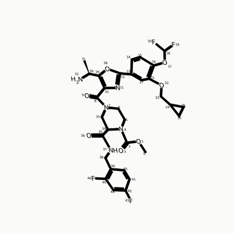 COC(=O)N1CCN(C(=O)c2nc(-c3ccc(OC(F)F)c(OCC4CC4)c3)oc2[C@H](C)N)CC1C(=O)NCc1ccc(F)cc1F